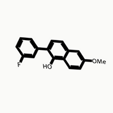 COc1ccc2c(O)c(-c3cccc(F)c3)ccc2c1